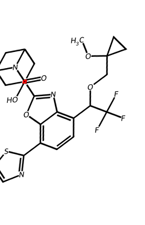 COC1(COC(c2ccc(-c3nccs3)c3oc(N4CC5CC(C4)N5C(=O)O)nc23)C(F)(F)F)CC1